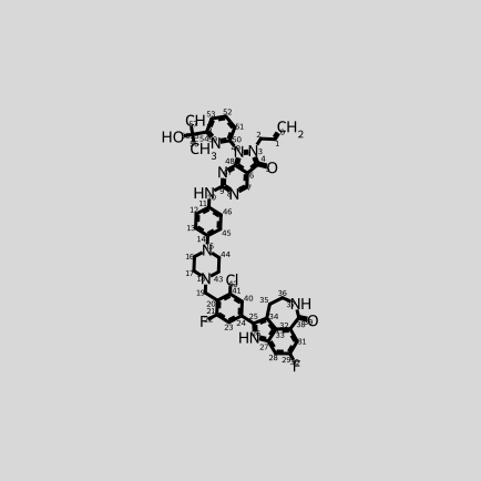 C=CCn1c(=O)c2cnc(Nc3ccc(N4CCN(Cc5c(F)cc(-c6[nH]c7cc(F)cc8c7c6CCNC8=O)cc5Cl)CC4)cc3)nc2n1-c1cccc(C(C)(C)O)n1